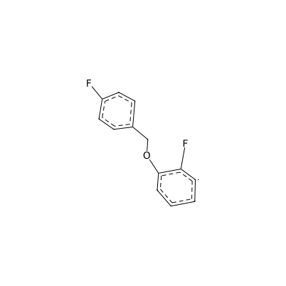 Fc1ccc(COc2ccc[c]c2F)cc1